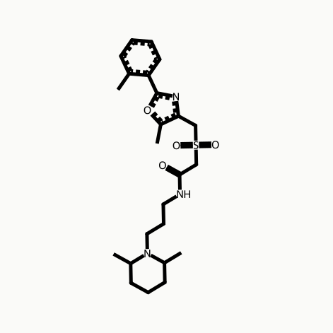 Cc1ccccc1-c1nc(CS(=O)(=O)CC(=O)NCCCN2C(C)CCCC2C)c(C)o1